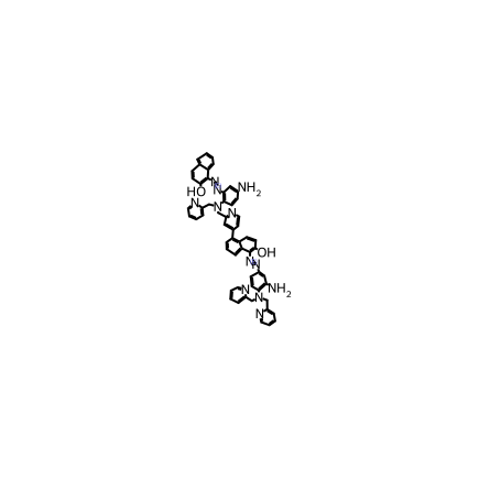 Nc1ccc(N(Cc2ccccn2)Cc2cc(-c3cccc4c(/N=N/c5ccc(N(Cc6ccccn6)Cc6ccccn6)c(N)c5)c(O)ccc34)ccn2)c(/N=N/c2c(O)ccc3ccccc23)c1